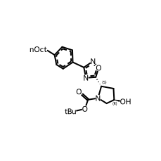 CCCCCCCCc1ccc(-c2noc([C@@H]3C[C@@H](O)CN3C(=O)OC(C)(C)C)n2)cc1